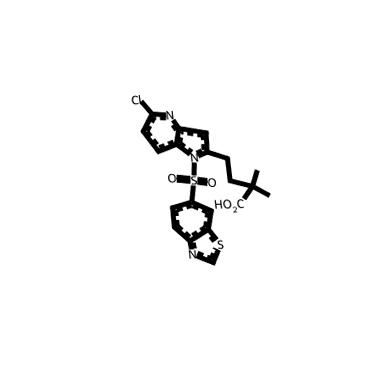 CC(C)(CCc1cc2nc(Cl)ccc2n1S(=O)(=O)c1ccc2ncsc2c1)C(=O)O